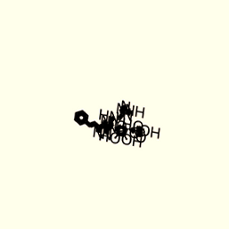 O=P(O)(O)OC[C@H]1O[C@@H](n2c(NCc3nn[nH]n3)nc3c(/C=C/c4ccccc4)ncnc32)[C@H](O)[C@@H]1O